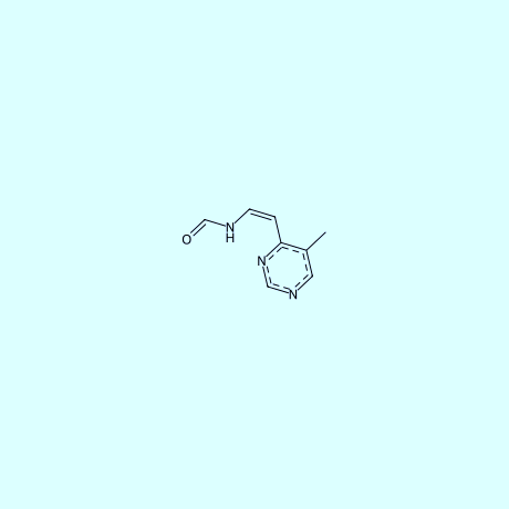 Cc1cncnc1/C=C\NC=O